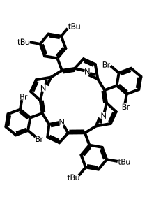 CC(C)(C)c1cc(C2=C3C=CC(=N3)C(c3c(Br)cccc3Br)=C3C=CC(=N3)C(c3cc(C(C)(C)C)cc(C(C)(C)C)c3)=C3C=CC(=N3)C(c3c(Br)cccc3Br)=C3C=CC2=N3)cc(C(C)(C)C)c1